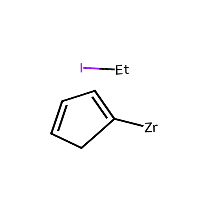 CCI.[Zr][C]1=CC=CC1